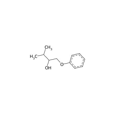 CC(C)C(O)COc1ccccc1